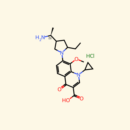 CCC1CC([C@H](C)N)CN1c1ccc2c(=O)c(C(=O)O)cn(C3CC3)c2c1OC.Cl